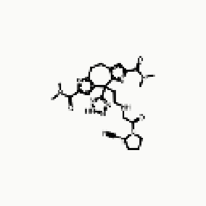 CN(C)C(=O)c1cc2c(s1)CCc1cc(C(=O)N(C)C)sc1C2(CCNCC(=O)N1CCC[C@H]1C#N)c1nn[nH]n1